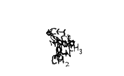 C=CC(=O)N1CCN(c2c(C#N)c(OCC3CCCN3C)nc3c2CCN(c2c(C)cccc2Cl)C3)CC1CC#N